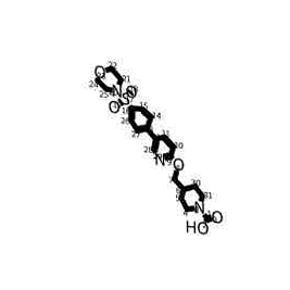 O=C(O)N1CCC(COc2ccc(-c3ccc(S(=O)(=O)N4CCOCC4)cc3)cn2)CC1